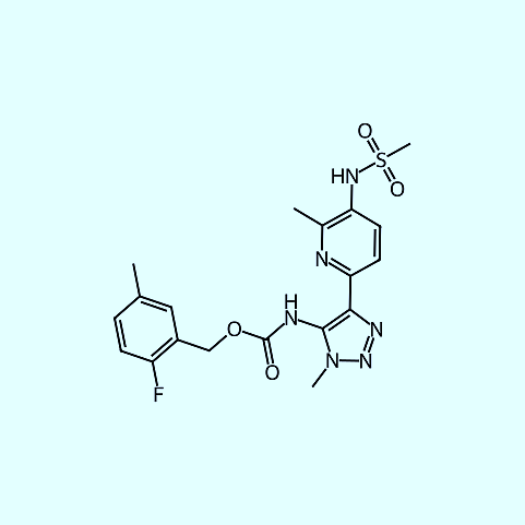 Cc1ccc(F)c(COC(=O)Nc2c(-c3ccc(NS(C)(=O)=O)c(C)n3)nnn2C)c1